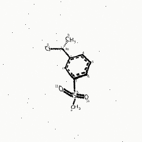 C[C@@H](Cl)c1cccc(S(C)(=O)=O)c1